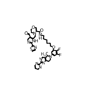 CC1c2cnc(-c3ncccn3)nc2CCN1c1cc(F)c(F)c(OCCCCCCNC(=O)C2COCCN2CC2=C(C=O)CN=C(c3nccs3)N2)c1